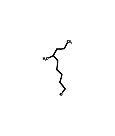 CCCC(C)CCCCC[O]